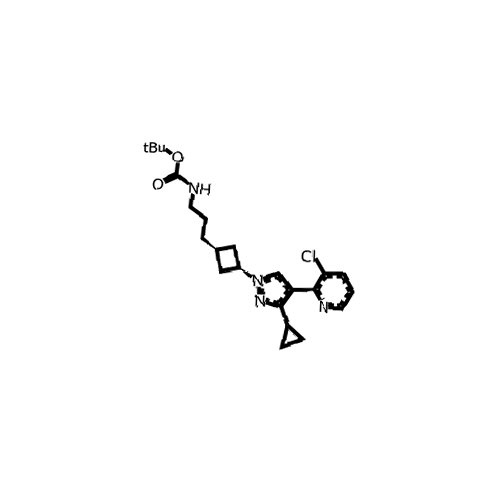 CC(C)(C)OC(=O)NCCC[C@H]1C[C@@H](n2cc(-c3ncccc3Cl)c(C3CC3)n2)C1